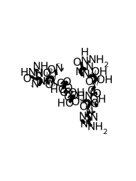 CO[C@@H]1C(NP(=O)(O)OC[C@H]2O[C@@H](n3cnc4c(=O)[nH]c(N)nc43)[C@H](O)[C@@H]2O)[C@@H](COP(=O)(O)OP(=O)(O)OP(=O)(O)OC[C@H]2O[C@@H](n3c[n+](C)c4c(=O)[nH]c(N)nc43)[C@H](O)[C@@H]2CC(=O)N(C)C)O[C@H]1n1cnc2c(N)ncnc21